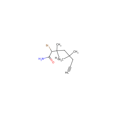 C#CCC(C)(C)CC(C)(C)C(Br)C(N)=O